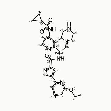 CCOc1cncc(-c2cnc(C(=O)N[C@@H](CN3CCNCC3)c3cc(NS(=O)(=O)C4CC4)ccn3)s2)n1